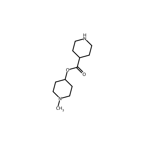 CN1CCC(OC(=O)C2CCNCC2)CC1